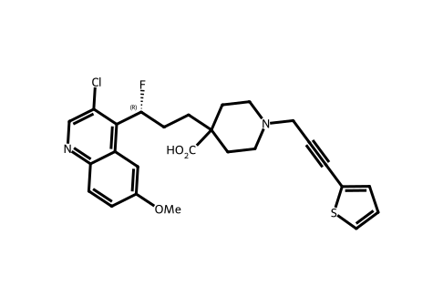 COc1ccc2ncc(Cl)c([C@H](F)CCC3(C(=O)O)CCN(CC#Cc4cccs4)CC3)c2c1